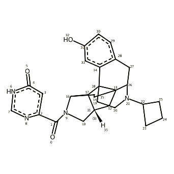 O=C(c1cc(=O)[nH]cn1)N1C[C@H]2CC34CCC1C2C31CCN(C2CCC2)C4Cc2ccc(O)cc21